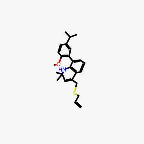 C=CCSCC1=CC(C)(C)Nc2c1cccc2-c1cc(C(C)C)ccc1OC